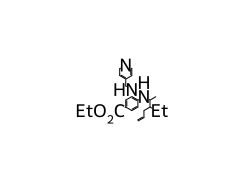 C=CCC(CC)C(C)Nc1ccc(C(=O)OCC)cc1NCc1ccncc1